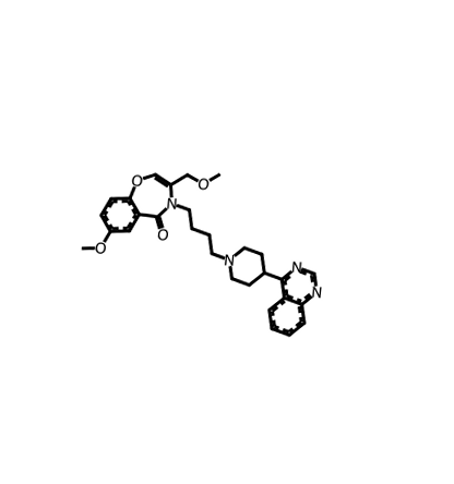 COCC1=COc2ccc(OC)cc2C(=O)N1CCCCN1CCC(c2ncnc3ccccc23)CC1